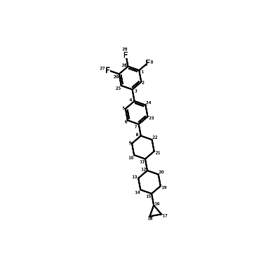 Fc1cc(-c2ccc(C3CCC(C4CCC(C5CC5)CC4)CC3)cc2)cc(F)c1F